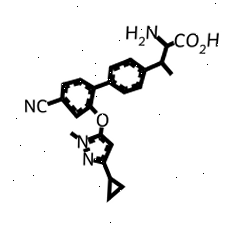 CC(c1ccc(-c2ccc(C#N)cc2Oc2cc(C3CC3)nn2C)cc1)C(N)C(=O)O